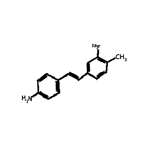 Cc1ccc(/C=C/c2ccc(N)cc2)cc1[18F]